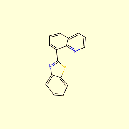 c1cnc2c(-c3nc4ccccc4s3)cccc2c1